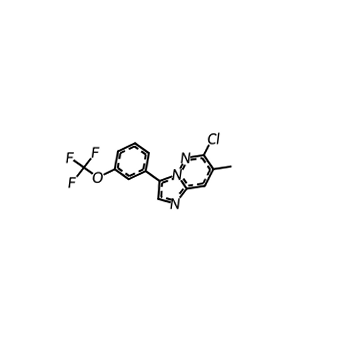 Cc1cc2ncc(-c3cccc(OC(F)(F)F)c3)n2nc1Cl